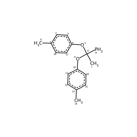 Cc1ccc(OC(C)(P)Oc2ccc(C)cc2)cc1